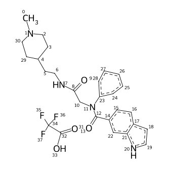 CN1CCC(CCNC(=O)CN(C(=O)c2ccc3cc[nH]c3c2)c2ccccc2)CC1.O=C(O)C(F)(F)F